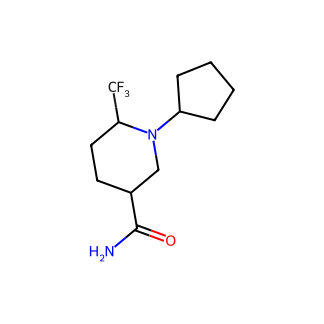 NC(=O)C1CCC(C(F)(F)F)N(C2CCCC2)C1